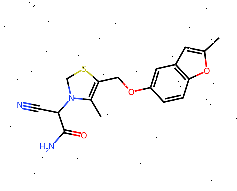 CC1=C(COc2ccc3oc(C)cc3c2)SCN1C(C#N)C(N)=O